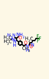 C=C(CCC(F)(F)F)c1cc(NC(=O)C(C)c2ccc(C3NN(C(C)C)C(N)=C3C(N)=O)cc2)on1